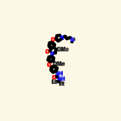 CCC(CC)NC(=O)Nc1ccc(Oc2ccc(N(CCOC)C(=O)c3ccc(OC4CCN(CCCN(C)C)CC4)cc3)cc2)c(OC)c1